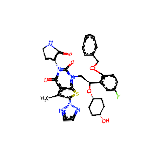 Cc1c(-n2nccn2)sc2c1c(=O)n([C@@H]1CCNC1=O)c(=O)n2C[C@H](O[C@H]1CC[C@@H](O)CC1)c1cc(F)ccc1OCc1ccccc1